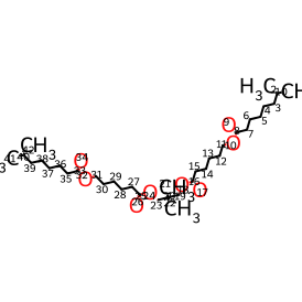 CC(C)CCCCCC(=O)OCCCCCC(=O)OCC(C)(C)COC(=O)CCCCCOC(=O)CCCCCC(C)C